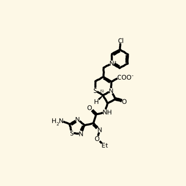 CCON=C(C(=O)NC1C(=O)N2C(C(=O)[O-])=C(C[n+]3cccc(Cl)c3)CS[C@@H]12)c1nsc(N)n1